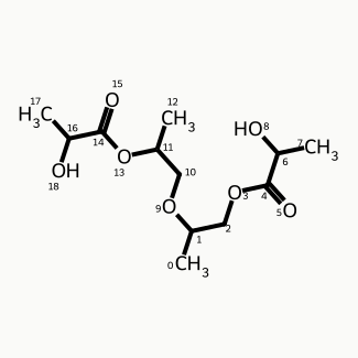 CC(COC(=O)C(C)O)OCC(C)OC(=O)C(C)O